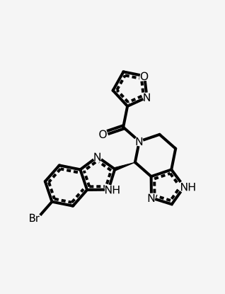 O=C(c1ccon1)N1CCc2[nH]cnc2[C@H]1c1nc2ccc(Br)cc2[nH]1